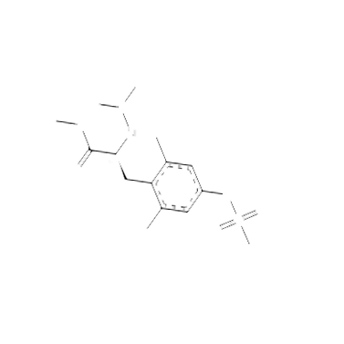 COC(=O)[C@H](Cc1c(C)cc(OS(C)(=O)=O)cc1C)NB(C)O